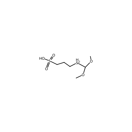 COC(OC)[SiH2]CCCS(=O)(=O)O